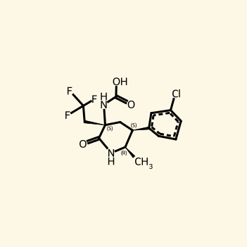 C[C@H]1NC(=O)[C@](CC(F)(F)F)(NC(=O)O)C[C@H]1c1cccc(Cl)c1